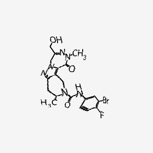 CC1Cc2nn3c(c2CN1C(=O)Nc1ccc(F)c(Br)c1)C(=O)N(C)N=C(CO)C3